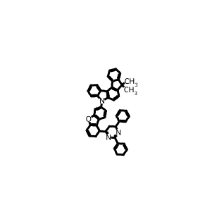 CC1(C)c2ccccc2-c2c1ccc1c2c2ccccc2n1-c1ccc2c3c(oc2c1)C=CCC3C1=NC(C2=CCCC=C2)=NC(c2ccccc2)C1